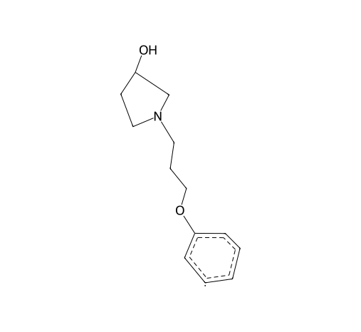 OC1CCN(CCCOc2c[c]ccc2)C1